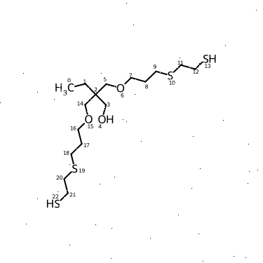 CCC(CO)(COCCCSCCS)COCCCSCCS